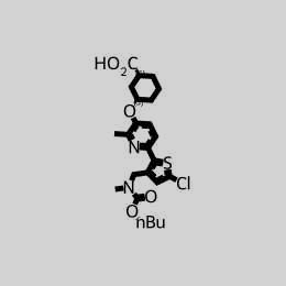 CCCCOC(=O)N(C)Cc1cc(Cl)sc1-c1ccc(O[C@H]2CCC[C@H](C(=O)O)C2)c(C)n1